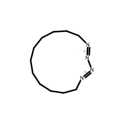 C1CCCCC/N=N/N=N/CCCCC1